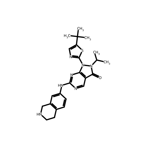 CC(C)n1c(=O)c2cnc(Nc3ccc4c(c3)CNCC4)nc2n1-c1ncc(C(C)(C)C)s1